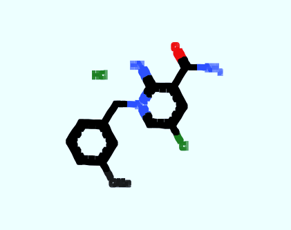 COc1cccc(Cn2cc(Cl)cc(C(N)=O)c2=N)c1.Cl